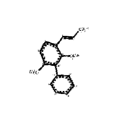 COc1ccc(C=CC(=O)O)c(OC)c1-c1ccccc1